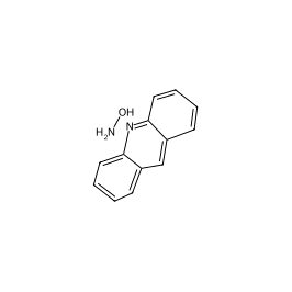 NO.c1ccc2nc3ccccc3cc2c1